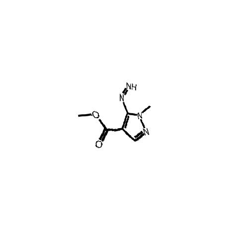 COC(=O)c1cnn(C)c1N=N